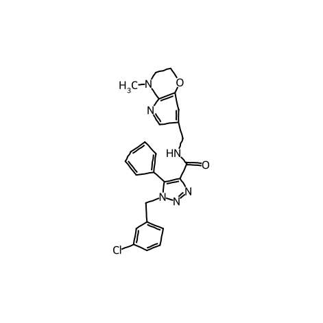 CN1CCOc2cc(CNC(=O)c3nnn(Cc4cccc(Cl)c4)c3-c3ccccc3)cnc21